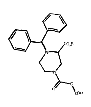 CCOC(=O)C1CN(C(=O)OC(C)(C)C)CCN1C(c1ccccc1)c1ccccc1